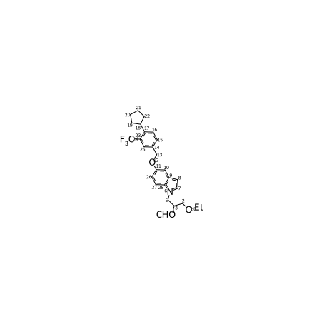 CCOCC(C=O)Cn1ccc2cc(OCc3ccc(C4CCCC4)c(C(F)(F)F)c3)ccc21